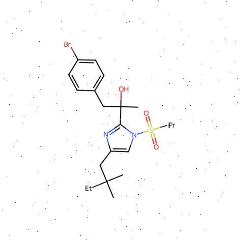 CCC(C)(C)Cc1cn(S(=O)(=O)C(C)C)c(C(C)(O)Cc2ccc(Br)cc2)n1